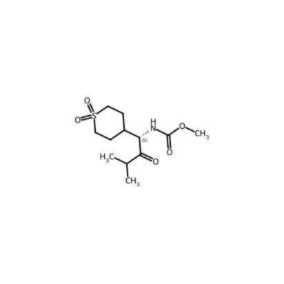 COC(=O)N[C@H](C(=O)C(C)C)C1CCS(=O)(=O)CC1